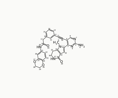 Cn1c(-c2nc(N)ncc2C#Cc2cccc(CC(=O)Nc3ccc4c(c3)OCCO4)c2)cc2c1CCNC2=O